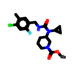 Cc1cc(CNC(=O)N(C2CC2)C2CCCN(C(=O)OC(C)(C)C)C2)c(F)cc1Cl